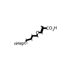 [CH2]CCCCCCCCCCOC=C(C)C(=O)O